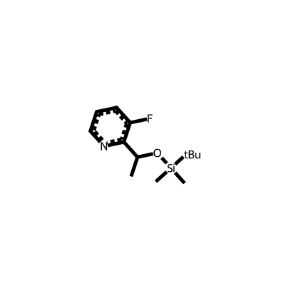 CC(O[Si](C)(C)C(C)(C)C)c1ncccc1F